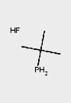 CC(C)(C)P.F